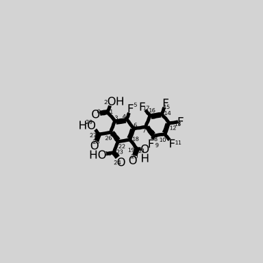 O=C(O)c1c(F)c(-c2c(F)c(F)c(F)c(F)c2F)c(C(=O)O)c(C(=O)O)c1C(=O)O